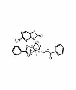 C[C@@]1(O)[C@@H](COC(=O)c2ccccc2)O[C@@H](n2c(=O)sc3cnc(N)nc32)[C@@H]1OC(=O)c1ccccc1